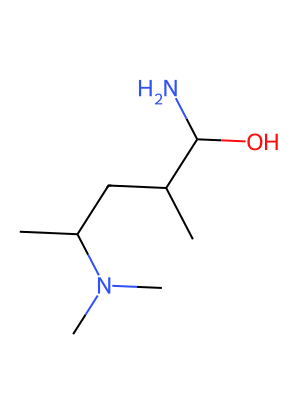 CC(CC(C)N(C)C)C(N)O